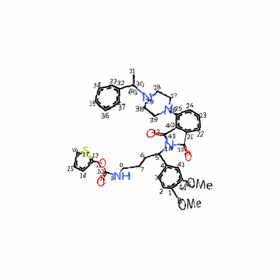 COc1ccc(C(CCCNC(=O)Oc2cccs2)N2C(=O)c3cccc(N4CCN([C@H](C)c5ccccc5)CC4)c3C2=O)cc1OC